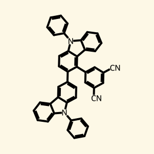 N#Cc1cc(C#N)cc(-c2c(-c3ccc4c(c3)c3ccccc3n4-c3ccccc3)ccc3c2c2ccccc2n3-c2ccccc2)c1